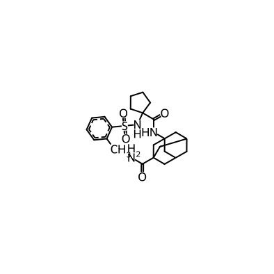 Cc1ccccc1S(=O)(=O)NC1(C(=O)NC23CC4CC(C2)CC(C(N)=O)(C4)C3)CCCC1